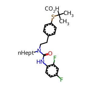 CCCCCCCN(CCc1ccc(SC(C)(C)C(=O)O)cc1)C(=O)Nc1ccc(F)cc1F